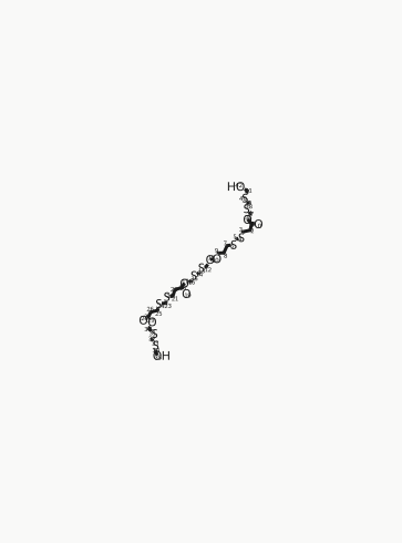 O=C(CCSCSCCCOOCSCSCOC(=O)CCSCSCCC(=O)OCSCSCO)OCSCSCO